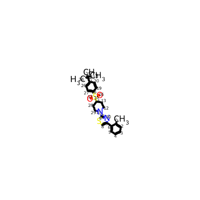 Cc1ccccc1-c1csc(N2CCC(S(=O)(=O)c3ccc(C(C)(C)C)cc3)CC2)n1